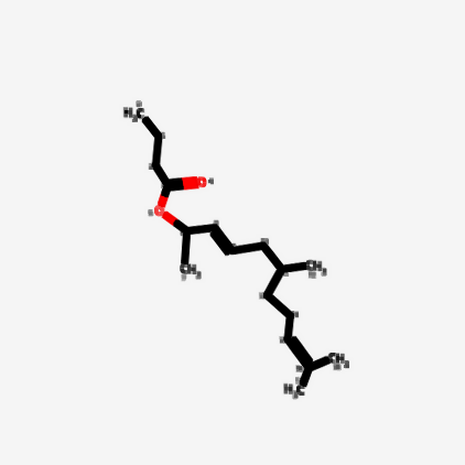 CCCC(=O)OC(C)C=CCC(C)CCC=C(C)C